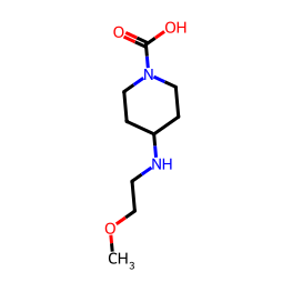 COCCNC1CCN(C(=O)O)CC1